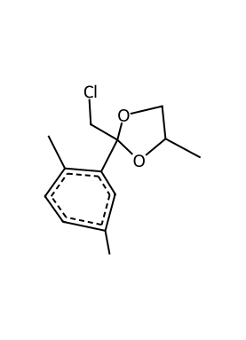 Cc1ccc(C)c(C2(CCl)OCC(C)O2)c1